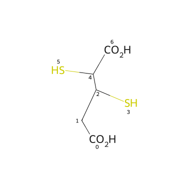 O=C(O)CC(S)C(S)C(=O)O